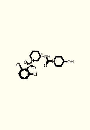 O=C(N[C@H]1CCCN(S(=O)(=O)c2c(Cl)cccc2Cl)C1)N1CCC(O)CC1